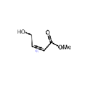 COC(=O)/C=C\CO